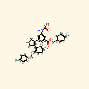 CCC(=O)Nc1cc(C(=O)OCc2ccc(F)cc2)cc(C2=C(c3cc(F)ccc3OCc3ccc(F)cc3)CCC2)c1